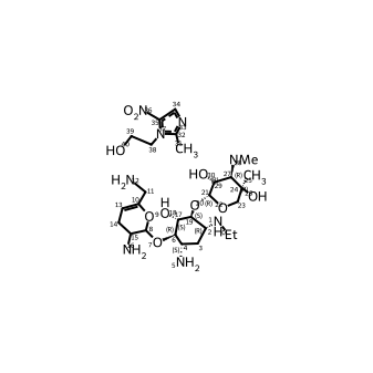 CCN[C@@H]1C[C@H](N)[C@@H](OC2OC(CN)=CCC2N)[C@H](O)[C@H]1O[C@H]1OC[C@](C)(O)[C@H](NC)[C@H]1O.Cc1ncc([N+](=O)[O-])n1CCO